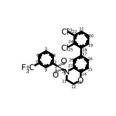 O=S(=O)(c1cccc(C(F)(F)F)c1)N1CCOc2ccc(-c3cccc(Cl)c3Cl)cc21